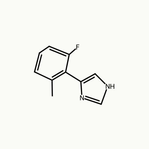 Cc1cccc(F)c1-c1c[nH]cn1